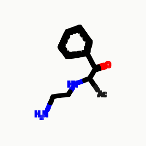 CC(=O)C(NCCN)C(=O)c1ccccc1